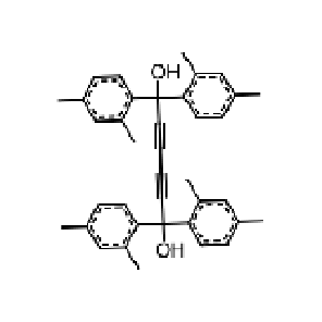 Cc1ccc(C(O)(C#CC#CC(O)(c2ccc(C)cc2C)c2ccc(C)cc2C)c2ccc(C)cc2C)c(C)c1